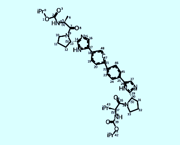 CC(C)OC(=O)N[C@@H](C)C(=O)N1CCC[C@H]1c1ncc(-c2ccc(-c3ccc(-c4cnc([C@@H]5CCCN5C(=O)[C@@H](NC(=O)OC(C)C)C(C)C)[nH]4)cc3)cc2)[nH]1